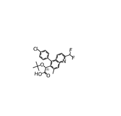 Cc1cc2nc(C(F)F)ccc2c(-c2ccc(Cl)cc2)c1[C@H](OC(C)(C)C)C(=O)O